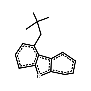 CC(C)(C)Cc1cccc2oc3ccccc3c12